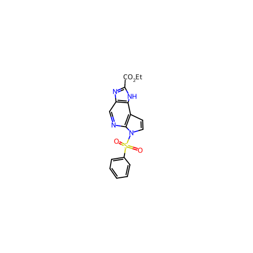 CCOC(=O)c1nc2cnc3c(ccn3S(=O)(=O)c3ccccc3)c2[nH]1